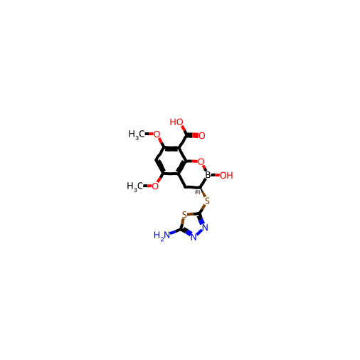 COc1cc(OC)c(C(=O)O)c2c1C[C@H](Sc1nnc(N)s1)B(O)O2